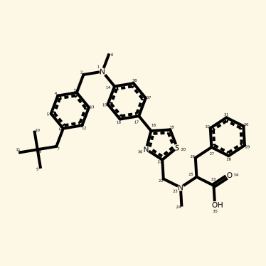 CN(Cc1ccc(CC(C)(C)C)cc1)c1ccc(-c2csc(CN(C)C(Cc3ccccc3)C(=O)O)n2)cc1